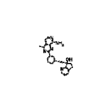 Cc1nc(-c2cccc(C#CC3(O)CCc4cccnc43)c2)nc2c(N)nccc12